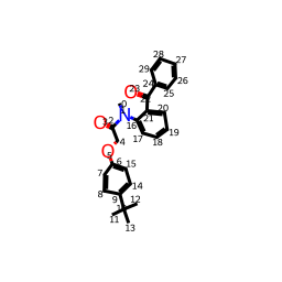 CN(C(=O)COc1ccc(C(C)(C)C)cc1)c1ccccc1C(=O)c1ccccc1